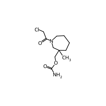 CC1(COC(N)=O)CCCCN(C(=O)CCl)C1